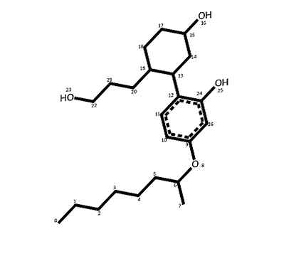 CCCCCCC(C)Oc1ccc(C2CC(O)CCC2CCCO)c(O)c1